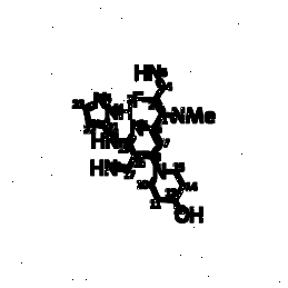 CN/C(=C(/F)C=N)c1cc(N2CCC(O)CC2)c(C=N)c(Nc2ccn[nH]2)n1